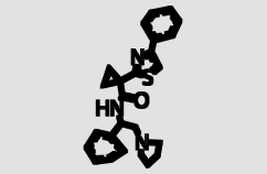 O=C(NC(CN1CCCC1)c1ccccc1)C1(c2nc(-c3ccccc3)cs2)CC1